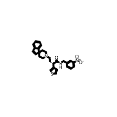 O=C(NCc1cccc([N+](=O)[O-])c1)[C@@H](CCN1CCC2(C=Cc3ccccc32)CC1)c1ccsc1